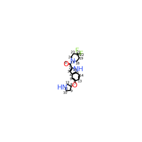 O=C(c1cc2cc(OC3CCNC3)ccc2[nH]1)N1CCC(F)(F)CC1